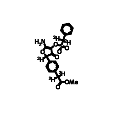 [2H]C([2H])(C(=O)OC)c1ccc(C2([2H])OC(N)=C(OS(=O)(=O)C([2H])([2H])c3ccccc3)C2=O)cc1